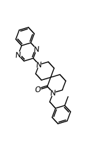 Cc1ccccc1CN1CCCC2(CCN(c3cnc4ccccc4n3)CC2)C1=O